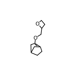 C1CC(COC2=C3CCC(C3)C2)O1